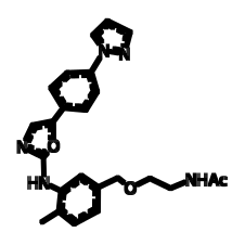 CC(=O)NCCOCc1ccc(C)c(Nc2ncc(-c3ccc(-n4cccn4)cc3)o2)c1